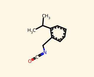 CC(C)c1ccccc1CN=C=O